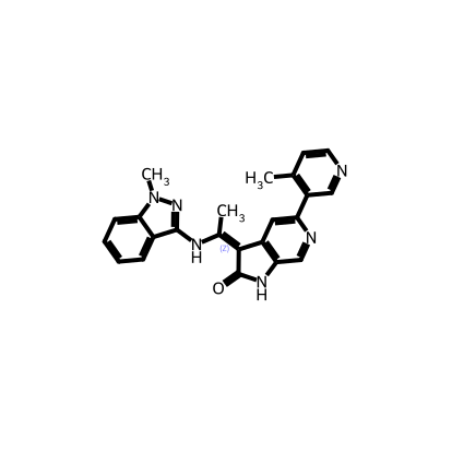 C/C(Nc1nn(C)c2ccccc12)=C1/C(=O)Nc2cnc(-c3cnccc3C)cc21